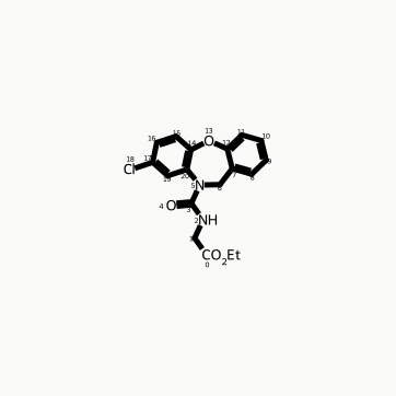 CCOC(=O)CNC(=O)N1Cc2ccccc2Oc2ccc(Cl)cc21